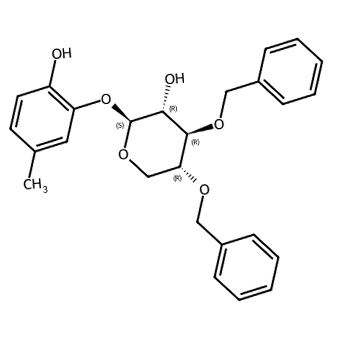 Cc1ccc(O)c(O[C@@H]2OC[C@@H](OCc3ccccc3)[C@H](OCc3ccccc3)[C@H]2O)c1